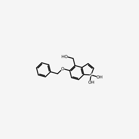 OCc1c(OCc2ccccc2)ccc2c1C=CS2(O)O